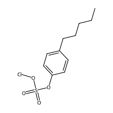 CCCCCc1ccc(OS(=O)(=O)OCl)cc1